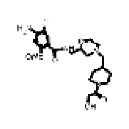 COc1cc(N)c(Cl)cc1C(=O)NCC1CN(CC2CCN(C(=O)CO)CC2)CCO1